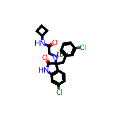 CC(C)(C)N(CC(=O)NC1CCC1)C1(Cc2cccc(Cl)c2)C(=O)Nc2cc(Cl)ccc21